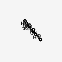 CC(C)(C)[C@H](NC(=O)c1cc2ccccc2[nH]1)C(=O)N1C[C@@H]2C1CCCN2C(=O)c1ccc(C(=O)Nc2ccccc2)cn1